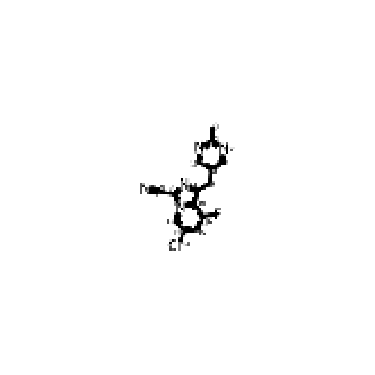 Cc1ncc(Cc2nc(C#N)n3cc(Cl)cc(F)c23)cn1